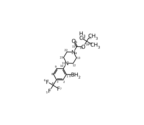 Bc1cc(C(F)(F)F)ccc1N1CCN(C(=O)OC(C)(C)C)CC1